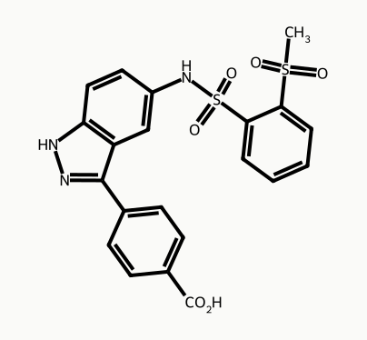 CS(=O)(=O)c1ccccc1S(=O)(=O)Nc1ccc2[nH]nc(-c3ccc(C(=O)O)cc3)c2c1